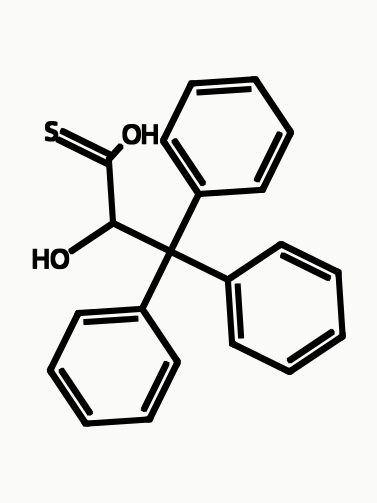 OC(=S)C(O)C(c1ccccc1)(c1ccccc1)c1ccccc1